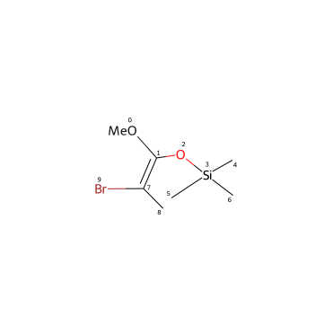 COC(O[Si](C)(C)C)=C(C)Br